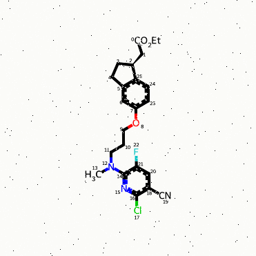 CCOC(=O)C[C@@H]1CCc2cc(OCCCN(C)c3nc(Cl)c(C#N)cc3F)ccc21